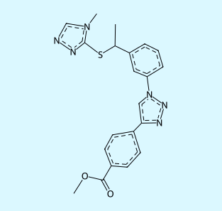 COC(=O)c1ccc(-c2cn(-c3cccc(C(C)Sc4nncn4C)c3)nn2)cc1